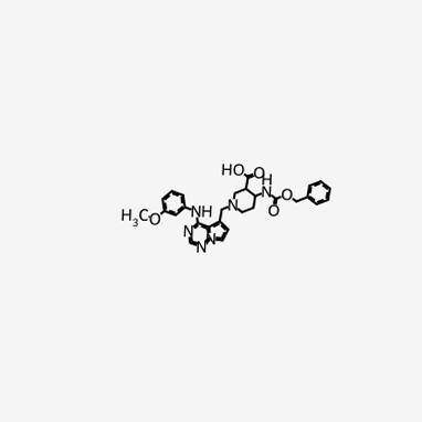 COc1cccc(Nc2ncnn3ccc(CN4CCC(NC(=O)OCc5ccccc5)C(C(=O)O)C4)c23)c1